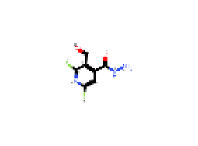 NNC(=O)c1cc(F)nc(F)c1[C]=O